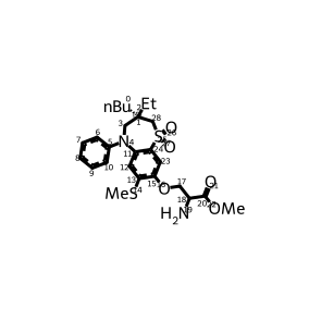 CCCC[C@@]1(CC)CN(c2ccccc2)c2cc(SC)c(OCC(N)C(=O)OC)cc2S(=O)(=O)C1